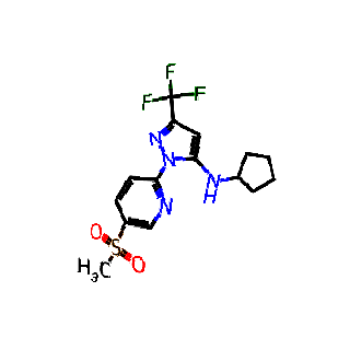 CS(=O)(=O)c1ccc(-n2nc(C(F)(F)F)cc2NC2CCCC2)nc1